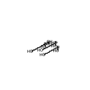 CN(C)C(CO)CCCCCCCCCCCCO.CN(C)C(CO)CCCCCCCCCCCCO.CN(C)C(CO)CCCCCCCCCCCCO.OB(O)O